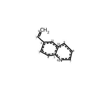 C=Cc1ccc2ncc[c]c2c1